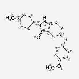 COc1ccc(CN2CCc3[nH]n(C4CCN(C)CC4)c(=O)c3C2)cc1